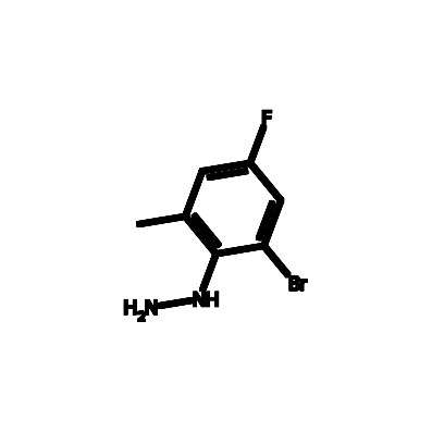 Cc1cc(F)cc(Br)c1NN